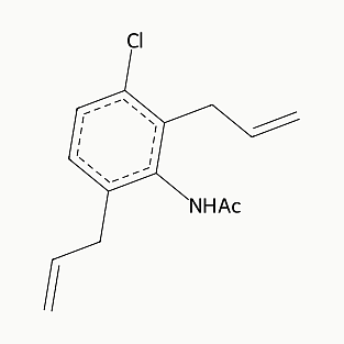 C=CCc1ccc(Cl)c(CC=C)c1NC(C)=O